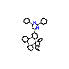 c1ccc(-c2cc(-c3ccc4c(c3)-c3ccccc3-c3ccccc3C43c4ccccc4-c4ccccc43)nc(-c3ccccc3)n2)cc1